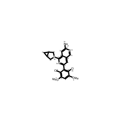 COc1cc(OC)c(Cl)c(-c2cc3cnc(N)cc3c(N3CC4CC4C3)n2)c1Cl